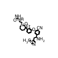 CCC1(c2cccc(Oc3cc(C(N)Cc4cncn4C)ccc3C#N)c2)CCCCN(CCNC(N)=O)C1=O